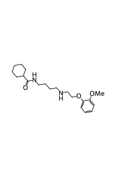 COc1ccccc1OCCNCCCCNC(=O)C1CCCCC1